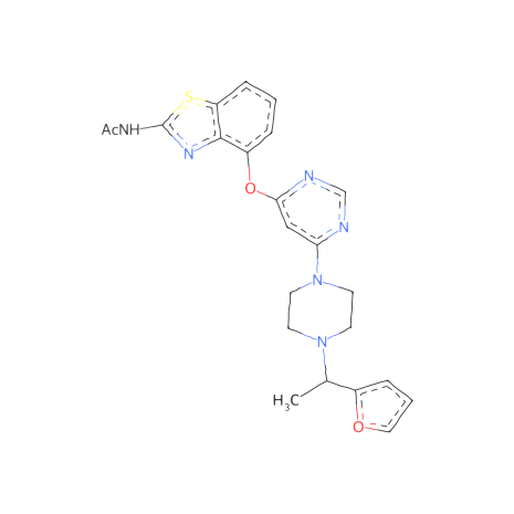 CC(=O)Nc1nc2c(Oc3cc(N4CCN(C(C)c5ccco5)CC4)ncn3)cccc2s1